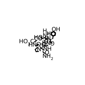 NC(=O)C[C@H](NC(=O)CNC(=O)[C@H](Cc1ccc(O)cc1)NC(=O)[C@@H](N)CO)C(=O)N1CCC[C@H]1C(=O)N[C@@H](CC(=O)O)C(=O)O